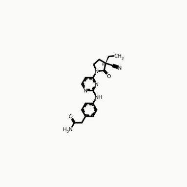 CC[C@]1(C#N)CCN(c2ccnc(Nc3ccc(CC(N)=O)cc3)n2)C1=O